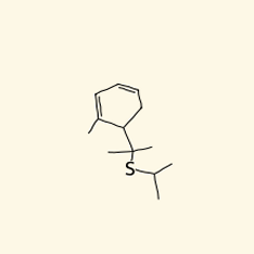 CC1=CC=CCC1C(C)(C)SC(C)C